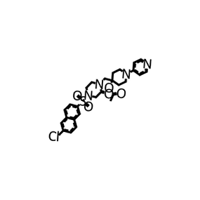 CC(=O)OC1(CN2CCN(S(=O)(=O)c3ccc4cc(Cl)ccc4c3)CC2=O)CCN(c2ccncc2)CC1